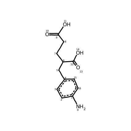 Nc1ccc(CC(CCC(=O)O)C(=O)O)cc1